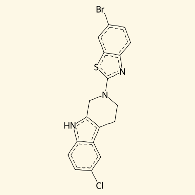 Clc1ccc2[nH]c3c(c2c1)CCN(c1nc2ccc(Br)cc2s1)C3